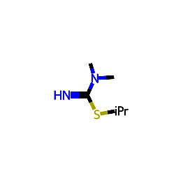 CC(C)SC(=N)N(C)C